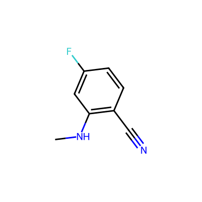 CNc1cc(F)ccc1C#N